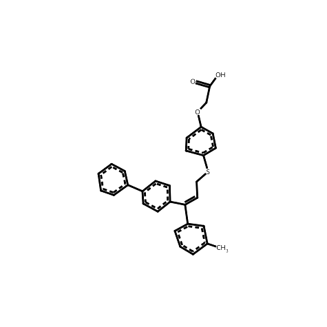 Cc1cccc(C(=CCSc2ccc(OCC(=O)O)cc2)c2ccc(-c3ccccc3)cc2)c1